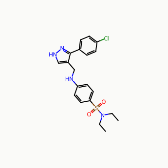 CCN(CC)S(=O)(=O)c1ccc(NCc2c[nH]nc2-c2ccc(Cl)cc2)cc1